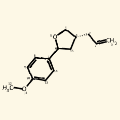 C=CC[C@H]1COC(c2ccc(OC)cc2)C1